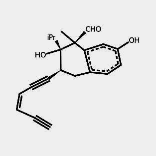 C#C/C=C\C#C[C@@H]1Cc2ccc(O)cc2[C@](C)(C=O)[C@]1(O)C(C)C